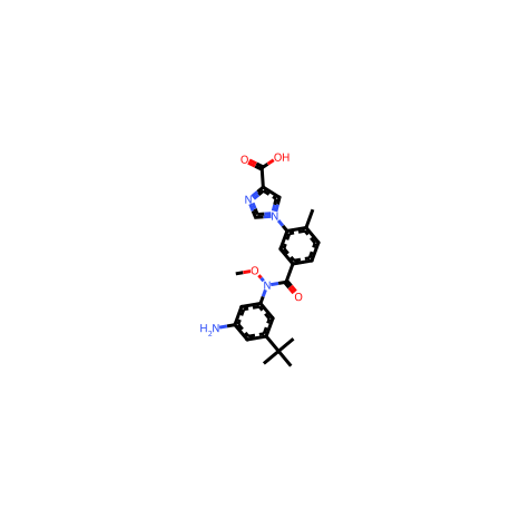 CON(C(=O)c1ccc(C)c(-n2cnc(C(=O)O)c2)c1)c1cc(N)cc(C(C)(C)C)c1